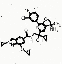 N[C@@]1(C(F)(F)F)COc2c1cc([C@@](O)(CNC(=O)c1cc(OC3CC3)c3nn(C4CC4)cc3c1)C1CC1)nc2-c1ccc(F)c(Cl)c1